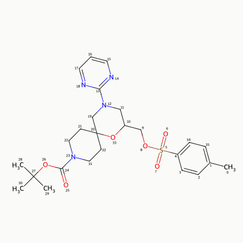 Cc1ccc(S(=O)(=O)OCC2CN(c3ncccn3)CC3(CCN(C(=O)OC(C)(C)C)CC3)O2)cc1